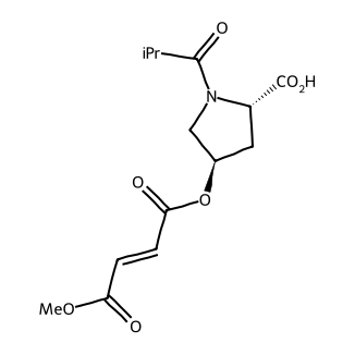 COC(=O)/C=C/C(=O)O[C@@H]1C[C@@H](C(=O)O)N(C(=O)C(C)C)C1